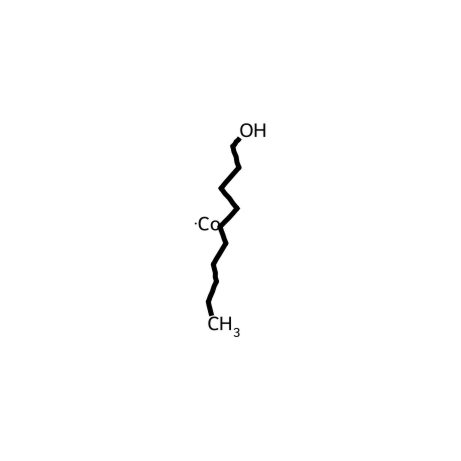 CCCCCCCCCCO.[Co]